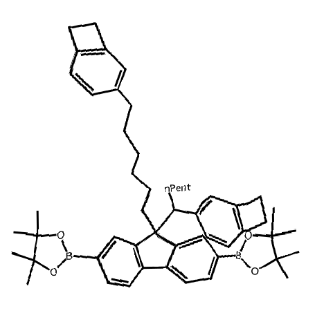 CCCCCC(c1ccc2c(c1)CC2)C1(CCCCCCc2ccc3c(c2)CC3)c2cc(B3OC(C)(C)C(C)(C)O3)ccc2-c2ccc(B3OC(C)(C)C(C)(C)O3)cc21